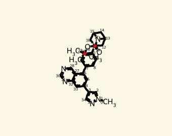 Cn1cc(-c2cc(-c3ccc(N4CC5CC(C4)N5C(=O)OC(C)(C)C)nc3)c3cncnc3c2)cn1